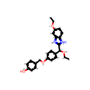 CCOc1ccc2[nH]c(C(OCC)c3ccc(OCc4ccc(O)cc4)cc3)nc2c1